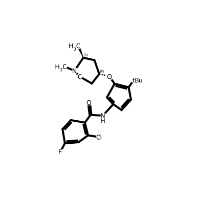 C[C@H]1C[C@H](Oc2cc(NC(=O)c3ccc(F)cc3Cl)ccc2C(C)(C)C)CCN1C